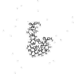 COc1nc(-c2cccc(-c3cccc(-c4ccc(CN5CCCC6(CCN(C(C)=O)C6)C5)c(OC)n4)c3Cl)c2Cl)ccc1CN1CCCC2(CCN(C(C)=O)C2)C1